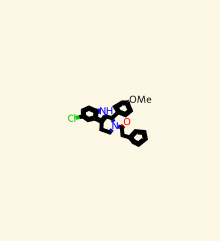 COc1ccc(C2c3[nH]c4ccc(Cl)cc4c3CCN2C(=O)Cc2ccccc2)cc1